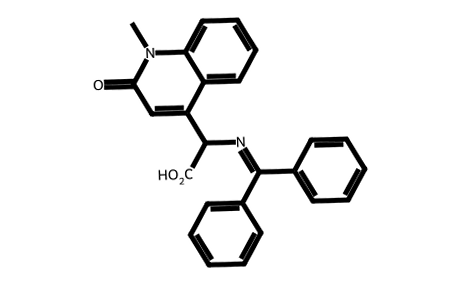 Cn1c(=O)cc(C(N=C(c2ccccc2)c2ccccc2)C(=O)O)c2ccccc21